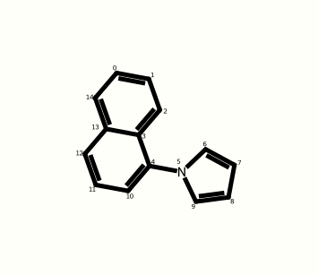 c1ccc2c(-n3cccc3)cccc2c1